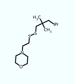 CC(C)CC(C)(C)CSSCCN1CCOCC1